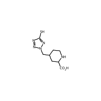 O=C(O)C1CC(Cn2nnc(S)n2)CCN1